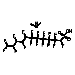 CNC.O=S(=O)(O)C(F)C(F)(F)C(F)(F)C(F)(F)C(F)(F)C(F)(F)C(F)C(F)C(F)C(F)C(F)F